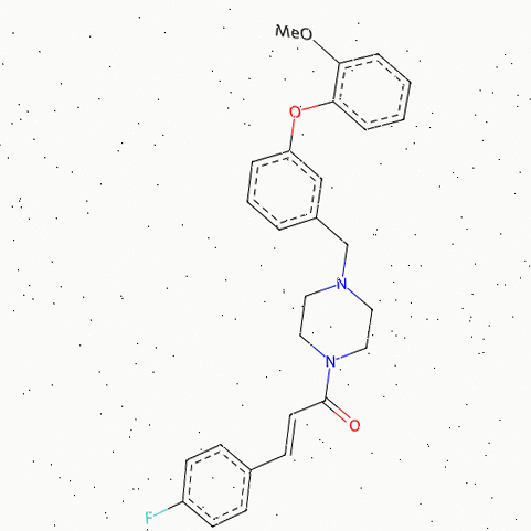 COc1ccccc1Oc1cccc(CN2CCN(C(=O)C=Cc3ccc(F)cc3)CC2)c1